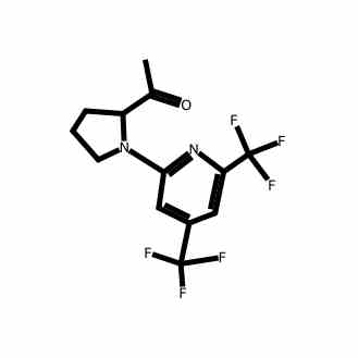 CC(=O)C1CCCN1c1cc(C(F)(F)F)cc(C(F)(F)F)n1